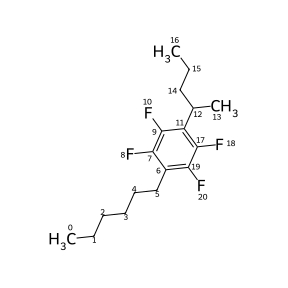 CCCCCCc1c(F)c(F)c(C(C)CCC)c(F)c1F